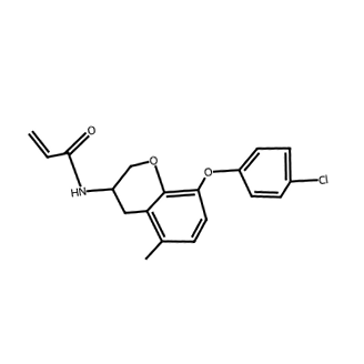 C=CC(=O)NC1COc2c(Oc3ccc(Cl)cc3)ccc(C)c2C1